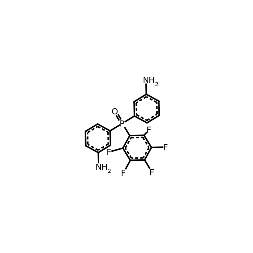 Nc1cccc(P(=O)(c2cccc(N)c2)c2c(F)c(F)c(F)c(F)c2F)c1